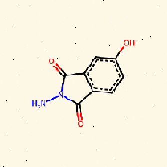 NN1C(=O)c2ccc(O)cc2C1=O